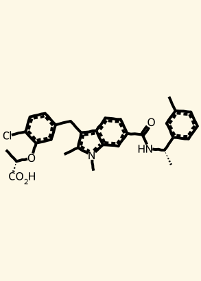 Cc1cccc([C@H](C)NC(=O)c2ccc3c(Cc4ccc(Cl)c(O[C@@H](C)C(=O)O)c4)c(C)n(C)c3c2)c1